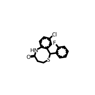 O=C1CCSC(c2ccccc2F)c2cc(Cl)ccc2N1